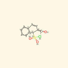 O=C=C1C=Cc2ccccc2C1S(=O)(=O)Cl